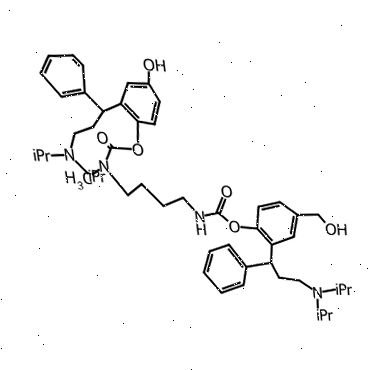 CC(C)N(CCC(c1ccccc1)c1cc(CO)ccc1OC(=O)NCCCCN(C)C(=O)Oc1ccc(O)cc1C(CCN(C(C)C)C(C)C)c1ccccc1)C(C)C